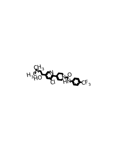 CN(C)C[C@H](O)c1cnc(C2=CCN(C(=O)Nc3ccc(C(F)(F)F)cc3)CC2)c(Cl)c1